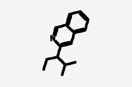 CCC(c1cc2ccccc2cn1)C(C)C